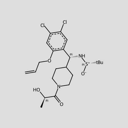 C=CCOc1cc(Cl)c(Cl)cc1[C@H](N[S@@+]([O-])C(C)(C)C)C1CCN(C(=O)[C@@H](C)O)CC1